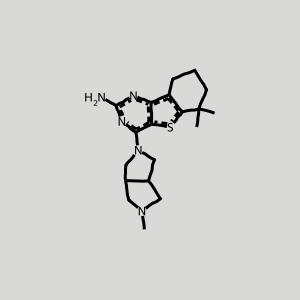 CN1CC2CN(c3nc(N)nc4c5c(sc34)C(C)(C)CCC5)CC2C1